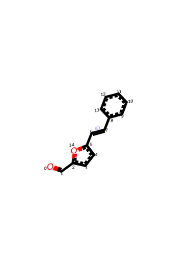 O=Cc1ccc(/C=C/c2ccccc2)o1